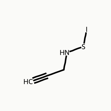 C#CCNSI